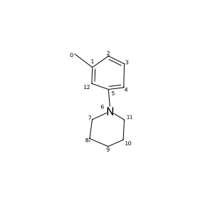 Cc1cccc(N2C[CH]CCC2)c1